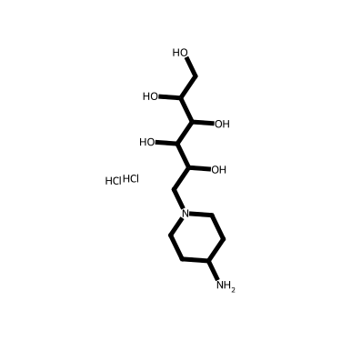 Cl.Cl.NC1CCN(CC(O)C(O)C(O)C(O)CO)CC1